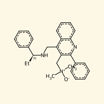 CC[C@H](NCc1c(C[N+](C)(C)[O-])c(-c2ccccc2)nc2ccccc12)c1ccccc1